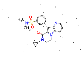 CN(C)S(=O)(=O)c1cccc(-c2c3n(c4cccnc24)CCN(C2CC2)C3=O)c1